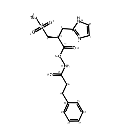 CC(C)(C)S(=O)(=O)C[C@@H](Cc1ncc[nH]1)C(=O)ONC(=O)CCc1ccccc1